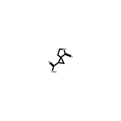 COC(=O)C1CC12CCNC2=O